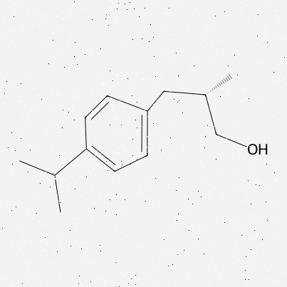 CC(C)c1ccc(C[C@H](C)CO)cc1